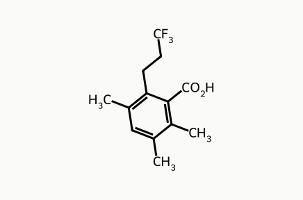 Cc1cc(C)c(CCC(F)(F)F)c(C(=O)O)c1C